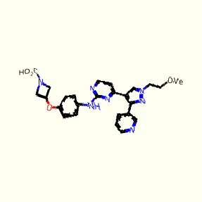 COCCn1cc(-c2ccnc(Nc3ccc(OC4CN(C(=O)O)C4)cc3)n2)c(-c2cccnc2)n1